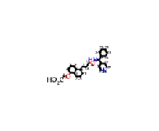 O=C(O)COc1cccc2c1CCCC2/C=C/CONC(c1ccccc1)c1ccncc1